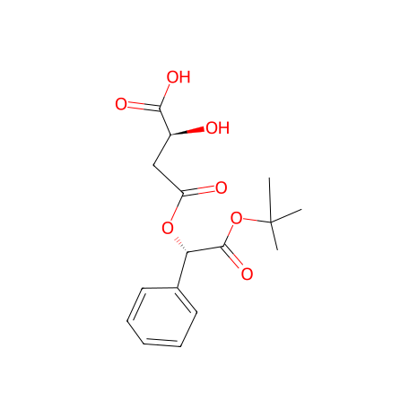 CC(C)(C)OC(=O)[C@@H](OC(=O)C[C@H](O)C(=O)O)c1ccccc1